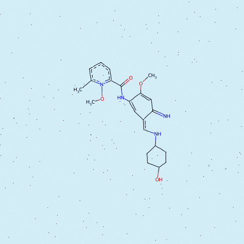 COC1=CC(=N)/C(=C\NC2CCC(O)CC2)C=C1NC(=O)c1cccc(C)[n+]1OC